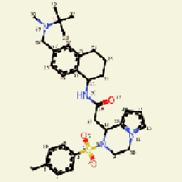 Cc1ccc(S(=O)(=O)N2CCn3cccc3C2CC(=O)NC2CCCc3cc(CN(C)C(C)(C)C)ccc32)cc1